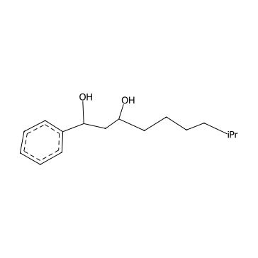 CC(C)CCCCC(O)CC(O)c1ccccc1